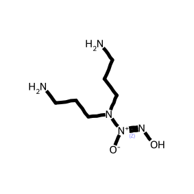 NCCCN(CCCN)/[N+]([O-])=N/O